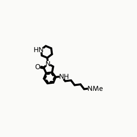 CNCCCCCNc1cccc2c1CN(C1CCCNC1)C2=O